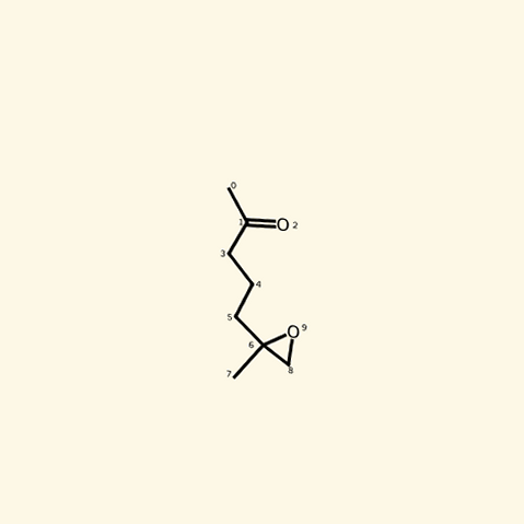 CC(=O)CCCC1(C)CO1